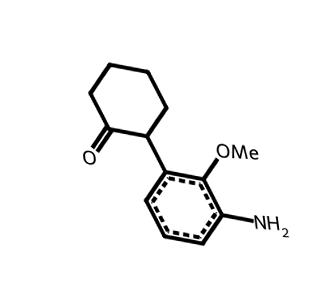 COc1c(N)cccc1C1CCCCC1=O